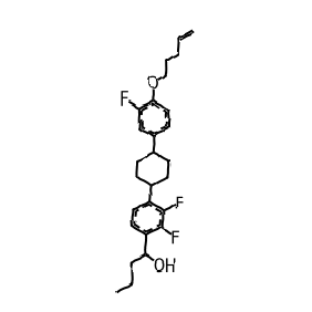 C=CCCCOc1ccc(C2CCC(c3ccc(C(O)CCC)c(F)c3F)CC2)cc1F